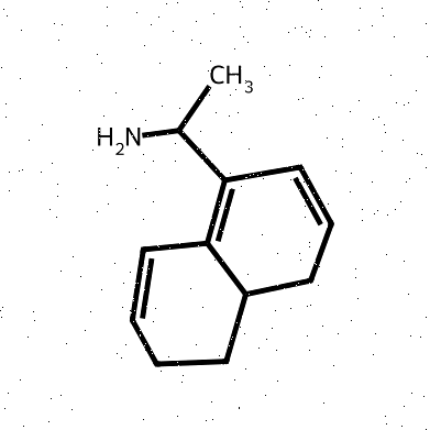 CC(N)C1=C2C=CCCC2CC=C1